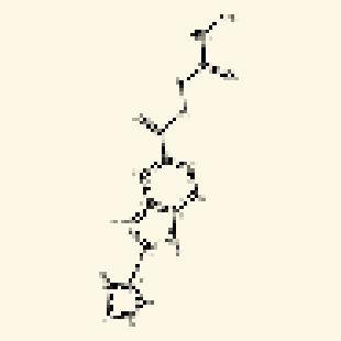 C=C(CCC(=O)NN)c1ccc2nc(-c3cccs3)oc2c1